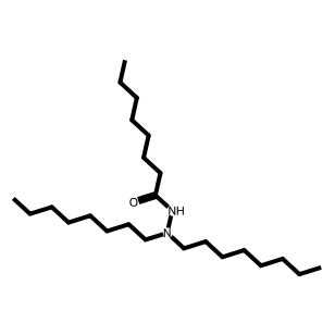 CCCCCCCCN(CCCCCCCC)NC(=O)CCCCCCC